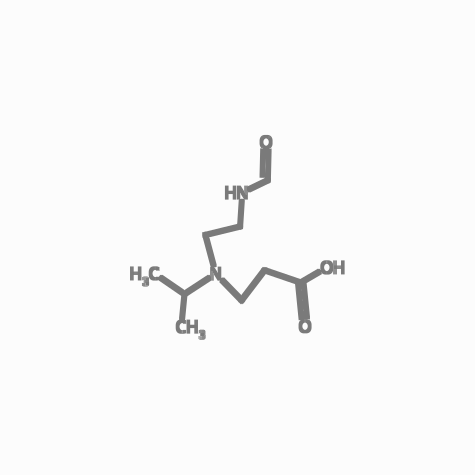 CC(C)N(CCNC=O)CCC(=O)O